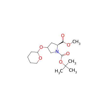 COC(=O)[C@@H]1CC(OC2CCCCO2)CN1C(=O)OC(C)(C)C